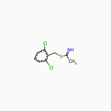 CC(=N)SCc1c(Cl)cccc1Cl